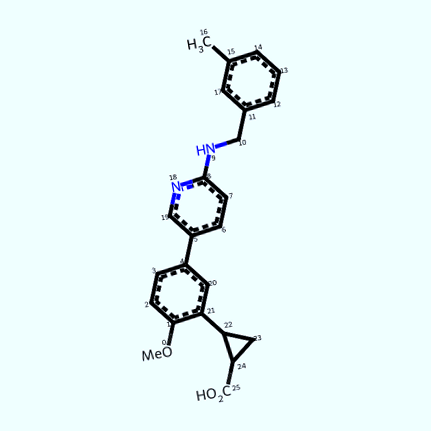 COc1ccc(-c2ccc(NCc3cccc(C)c3)nc2)cc1C1CC1C(=O)O